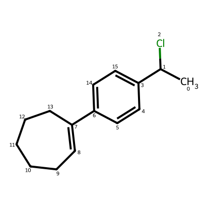 CC(Cl)c1ccc(C2=CCCCCC2)cc1